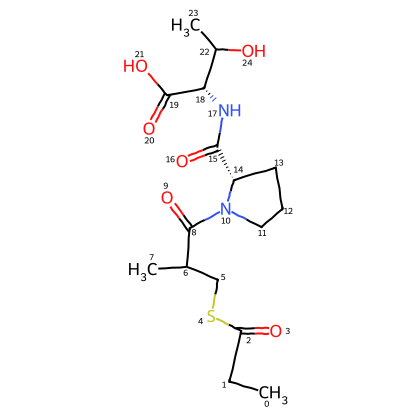 CCC(=O)SCC(C)C(=O)N1CCC[C@H]1C(=O)N[C@H](C(=O)O)C(C)O